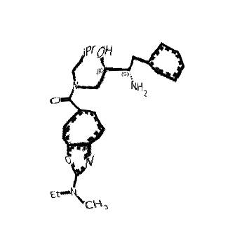 CCN(C)c1nc2ccc(C(=O)N(CC(C)C)C[C@@H](O)[C@@H](N)Cc3ccccc3)cc2o1